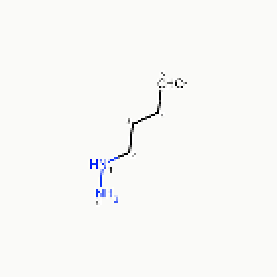 NNCCC[C]=O